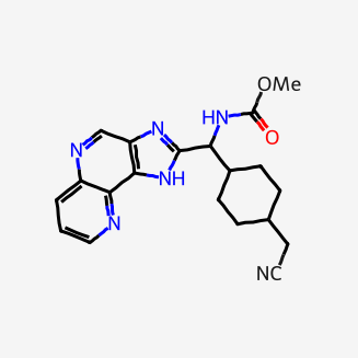 COC(=O)NC(c1nc2cnc3cccnc3c2[nH]1)C1CCC(CC#N)CC1